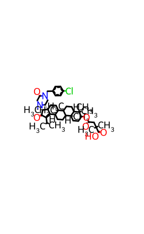 CC(C)C1=C2[C@H]3CC[C@@H]4[C@@]5(C)CC[C@H](OC(=O)CC(C)(C)C(=O)O)C(C)(C)[C@@H]5CC[C@@]4(C)[C@]3(C)CCC2([C@H]2CN(Cc3ccc(Cl)cc3)C(=O)CN2C)CC1=O